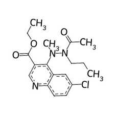 CCCN(C(C)=O)N(C)c1c(C(=O)OCC)cnc2ccc(Cl)cc12